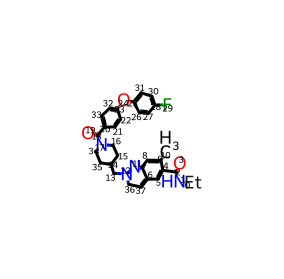 CCNC(=O)c1cc2c(cc1C)=NN(CC1CCN(C(=O)c3ccc(Oc4ccc(F)cc4)cc3)CC1)CC=2